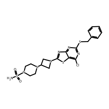 NS(=O)(=O)N1CCN(C2CN(c3nc4nc(SCc5ccccc5)nc(Cl)c4s3)C2)CC1